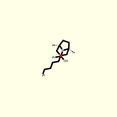 CC(C)CCCCN1C[C@H]2CC[C@@H](C1)N2C(O)C(C)C